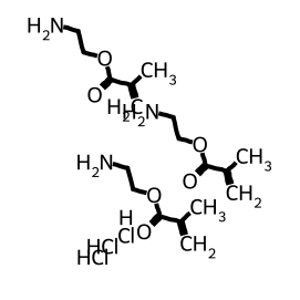 C=C(C)C(=O)OCCN.C=C(C)C(=O)OCCN.C=C(C)C(=O)OCCN.Cl.Cl.Cl